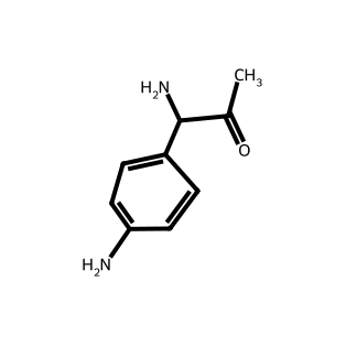 CC(=O)C(N)c1ccc(N)cc1